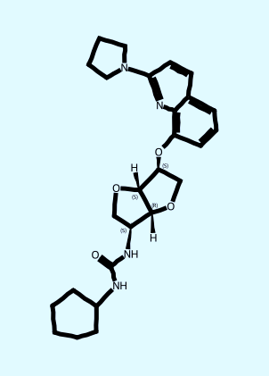 O=C(NC1CCCCC1)N[C@H]1CO[C@H]2[C@@H]1OC[C@@H]2Oc1cccc2ccc(N3CCCC3)nc12